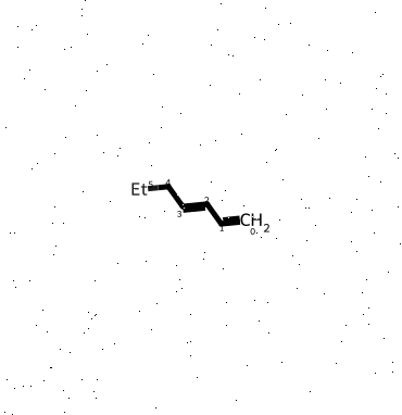 C=CC=CCCC